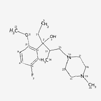 CCC(O)(c1cc(F)ccc1OC)C(C)CN1CCN(C)CC1